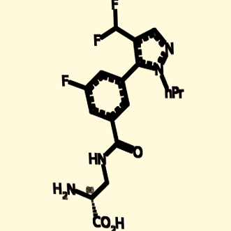 CCCn1ncc(C(F)F)c1-c1cc(F)cc(C(=O)NC[C@@H](N)C(=O)O)c1